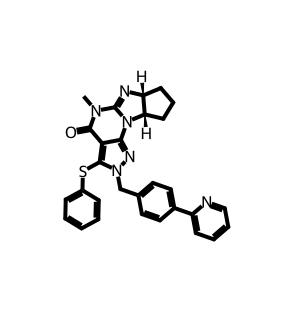 CN1C(=O)c2c(nn(Cc3ccc(-c4ccccn4)cc3)c2Sc2ccccc2)N2C1=N[C@@H]1CCC[C@@H]12